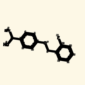 CCCC(O)c1ccc(OCc2ccccc2F)cc1